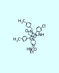 CCNC(=O)N1CCN(C(=O)[C@]2(Sc3ccc(C)cc3)CC(=O)N(Cc3ccc(C)cc3)[C@H]2c2c[nH]c3cc(Cl)ccc23)CC1